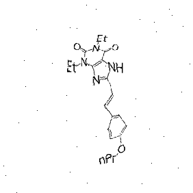 CCCOc1ccc(C=Cc2nc3c([nH]2)c(=O)n(CC)c(=O)n3CC)cc1